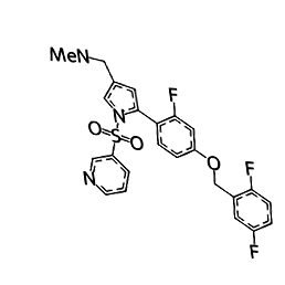 CNCc1cc(-c2ccc(OCc3cc(F)ccc3F)cc2F)n(S(=O)(=O)c2cccnc2)c1